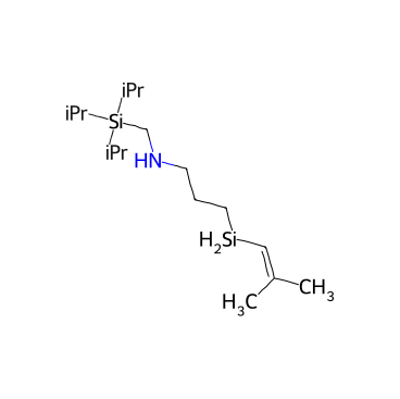 CC(C)=C[SiH2]CCCNC[Si](C(C)C)(C(C)C)C(C)C